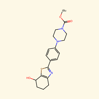 CC(C)(C)OC(=O)N1CCN(c2ccc(-c3nc4c(s3)C(O)CCC4)cc2)CC1